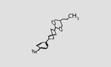 CCCC1COC(C2CC3(CC(c4ccc(Br)cc4)C3)C2)OC1